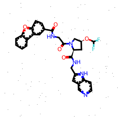 O=C(NCC(=O)N1C[C@H](OC(F)F)C[C@H]1C(=O)NCc1cc2cnccc2[nH]1)c1ccc2oc3ccccc3c2c1